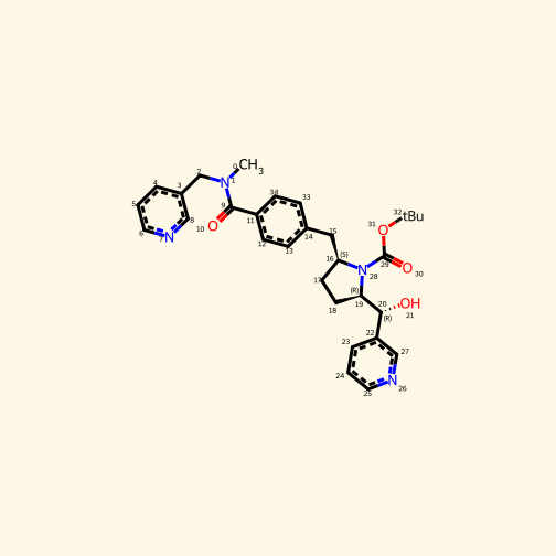 CN(Cc1cccnc1)C(=O)c1ccc(C[C@@H]2CC[C@H]([C@H](O)c3cccnc3)N2C(=O)OC(C)(C)C)cc1